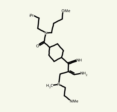 CNCCN(C)C/C(=C/N)C(=N)C1CCC(C(=O)N(CCCOC)CCC(C)C)CC1